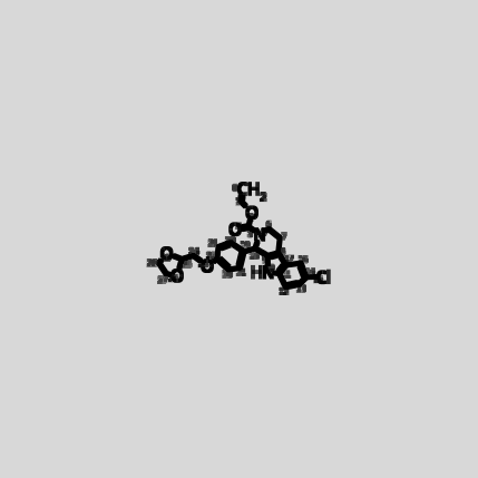 C=COC(=O)N1CCc2c([nH]c3ccc(Cl)cc23)C1c1ccc(OCC2OCCO2)cc1